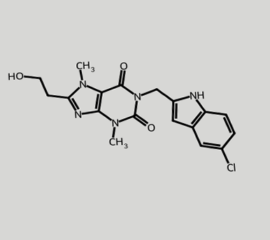 Cn1c(CCO)nc2c1c(=O)n(Cc1cc3cc(Cl)ccc3[nH]1)c(=O)n2C